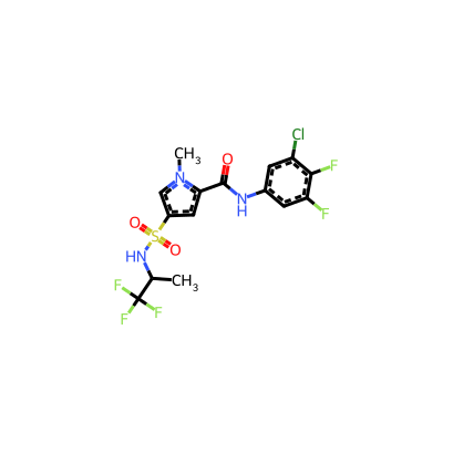 CC(NS(=O)(=O)c1cc(C(=O)Nc2cc(F)c(F)c(Cl)c2)n(C)c1)C(F)(F)F